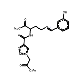 COC(=O)Cn1cc(C(=O)NC(CC/N=C/c2cccc(O)c2)C(=O)OC)nn1